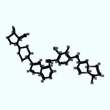 C=C1CCN(C2CCN(c3ccc4ncnc(Nc5ccc(Oc6ccc7c(c6)nnn7C)c(C)c5F)c4n3)CC2)C1=O